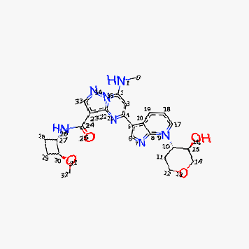 CNc1cc(-c2cnc3n([C@H]4CCOC[C@@H]4O)cccc2-3)nc2c(C(=O)N[C@H]3CC[C@@H]3OC)cnn12